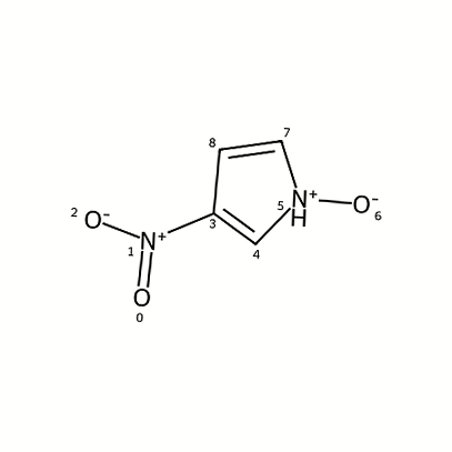 O=[N+]([O-])C1=C[NH+]([O-])C=C1